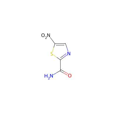 NC(=O)c1ncc([N+](=O)[O-])s1